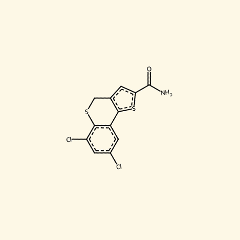 NC(=O)c1cc2c(s1)-c1cc(Cl)cc(Cl)c1SC2